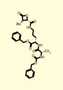 CC[C@H](C)C1C(=O)O[C@@H]1C(=O)NCCC[C@H](NC(=O)[C@H](C)NC(=O)OCc1ccccc1)C(=O)OCc1ccccc1